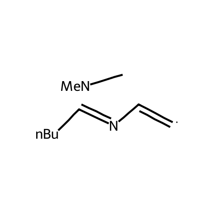 CNC.[CH]=CN=CCCCC